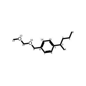 CCCC(C)c1ccc(COCOC)cc1